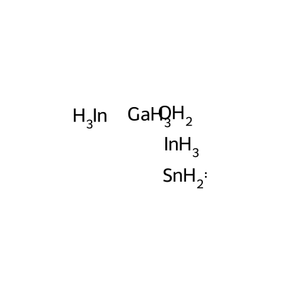 O.[GaH3].[InH3].[InH3].[SnH2]